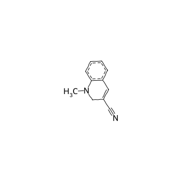 CN1CC(C#N)=Cc2ccccc21